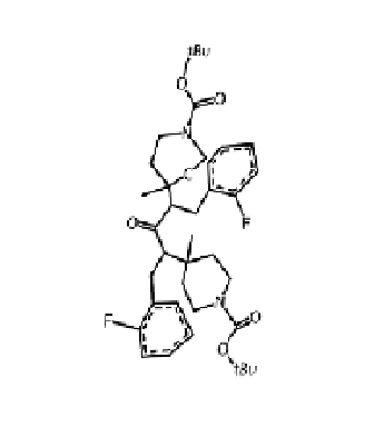 CC(C)(C)OC(=O)N1CCC(C)(C(Cc2ccccc2F)C(=O)C(Cc2ccccc2F)C2(C)CCN(C(=O)OC(C)(C)C)CC2)CC1